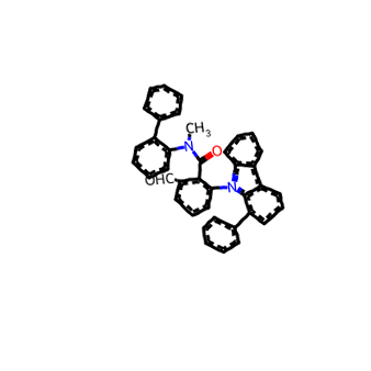 CN(C(=O)c1c(C=O)cccc1-n1c2ccccc2c2cccc(-c3ccccc3)c21)c1ccccc1-c1ccccc1